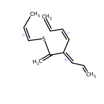 C=C/C=C\C(=C/C=C)C(=C)S/C=C\C